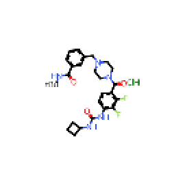 CC(C)(C)NC(=O)c1cccc(CN2CCN(C(=O)c3ccc(NC(=O)NC4CCC4)c(F)c3F)CC2)c1.Cl